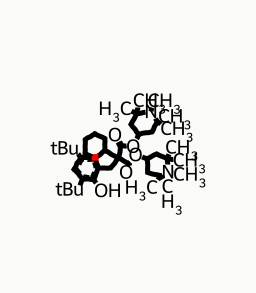 CN1C(C)(C)CC(OC(=O)C(Cc2cc(C(C)(C)C)cc(C(C)(C)C)c2O)(C(=O)OC2CC(C)(C)N(C)C(C)(C)C2)C2CCCCC2)CC1(C)C